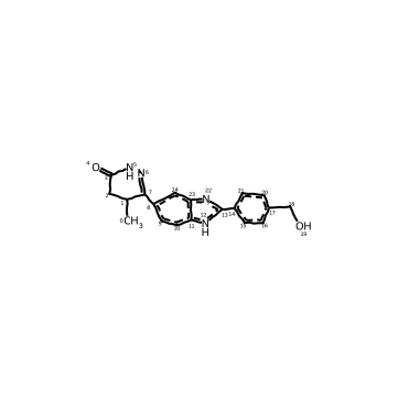 CC1CC(=O)NN=C1c1ccc2[nH]c(-c3ccc(CO)cc3)nc2c1